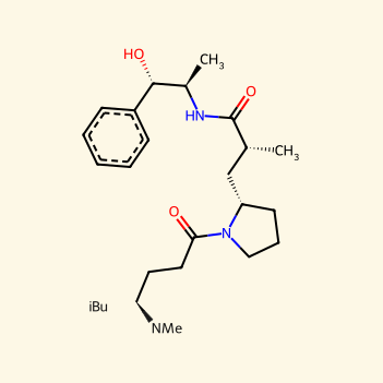 CC[C@H](C)[C@@H](CCC(=O)N1CCC[C@H]1C[C@@H](C)C(=O)N[C@H](C)[C@@H](O)c1ccccc1)NC